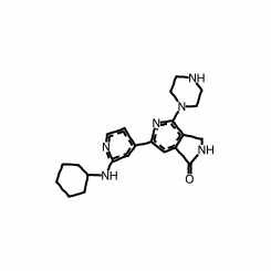 O=C1NCc2c1cc(-c1ccnc(NC3CCCCC3)c1)nc2N1CCNCC1